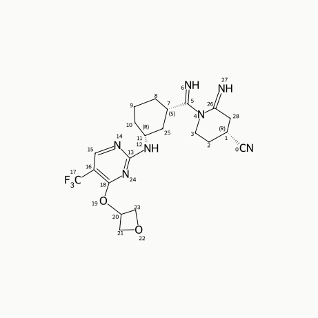 N#C[C@@H]1CCN(C(=N)[C@H]2CCC[C@@H](Nc3ncc(C(F)(F)F)c(OC4COC4)n3)C2)C(=N)C1